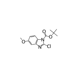 COc1ccc2c(c1)nc(Cl)n2C(=O)OC(C)(C)C